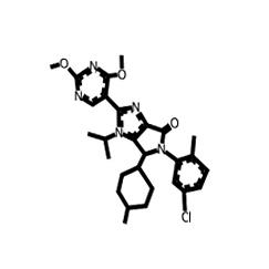 COc1ncc(-c2nc3c(n2C(C)C)C(C2CCC(C)CC2)N(c2cc(Cl)ccc2C)C3=O)c(OC)n1